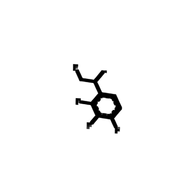 [CH2]C(CF)c1ccc(F)c(F)c1F